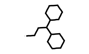 [CH2]CC[C](C1CCCCC1)C1CCCCC1